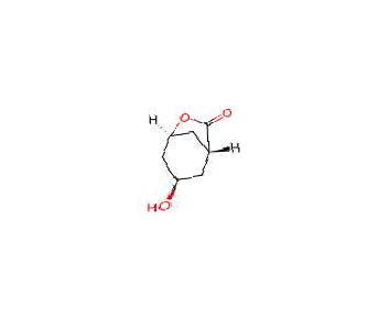 O=C1O[C@@H]2C[C@H](O)C[C@@H]1C2